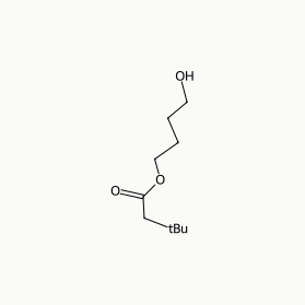 CC(C)(C)CC(=O)OCCCCO